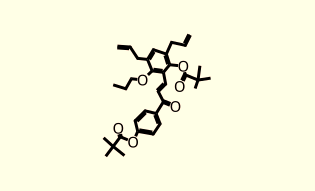 C=CCc1cc(CC=C)c(OC(=O)C(C)(C)C)c(C=CC(=O)c2ccc(OC(=O)C(C)(C)C)cc2)c1OCCC